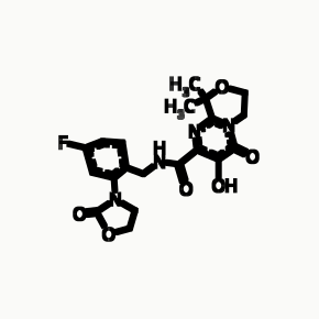 CC1(C)OCCn2c1nc(C(=O)NCc1ccc(F)cc1N1CCOC1=O)c(O)c2=O